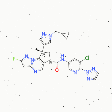 C[C@@]1(c2cnn(CC3CC3)c2)C[C@H](C(=O)Nc2cnc(-n3nccn3)c(Cl)c2)c2cnc3cc(F)nn3c21